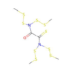 CSSN(SSC)C(=O)C(=S)N(SSC)SSC